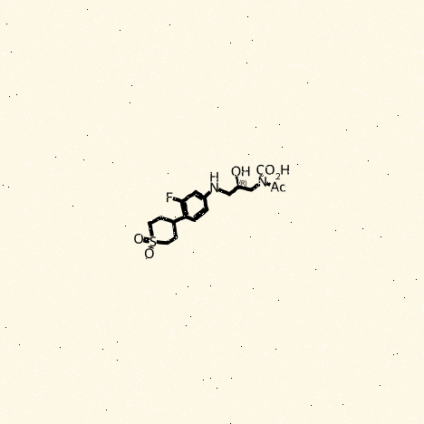 CC(=O)N(C[C@H](O)CNc1ccc(C2CCS(=O)(=O)CC2)c(F)c1)C(=O)O